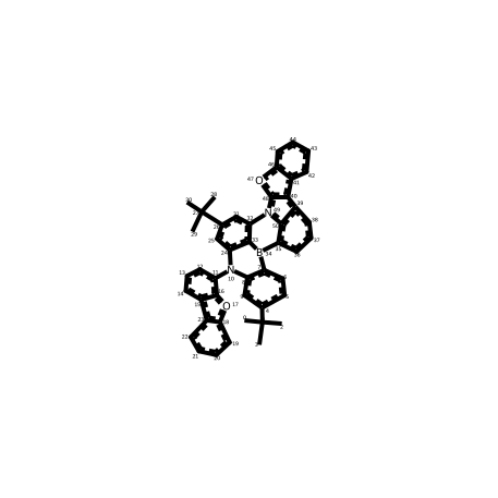 CC(C)(C)c1ccc2c(c1)N(c1cccc3c1oc1ccccc13)c1cc(C(C)(C)C)cc3c1B2c1cccc2c4c5ccccc5oc4n-3c12